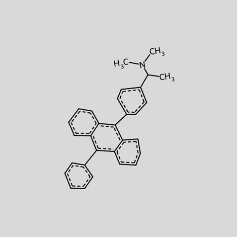 CC(c1ccc(-c2c3ccccc3c(-c3ccccc3)c3ccccc23)cc1)N(C)C